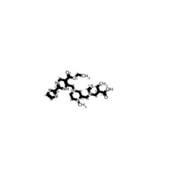 CCOC(=O)C1=C(CN2CCN(C)C(CN(C=S)CC(CC)C(=O)O)C2)NC(c2nccs2)=NC1